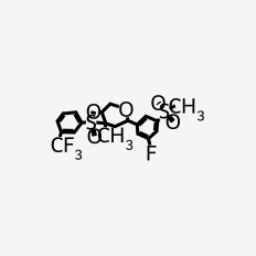 CC1(S(=O)(=O)c2cccc(C(F)(F)F)c2)CCOC(c2cc(F)cc(S(C)(=O)=O)c2)C1